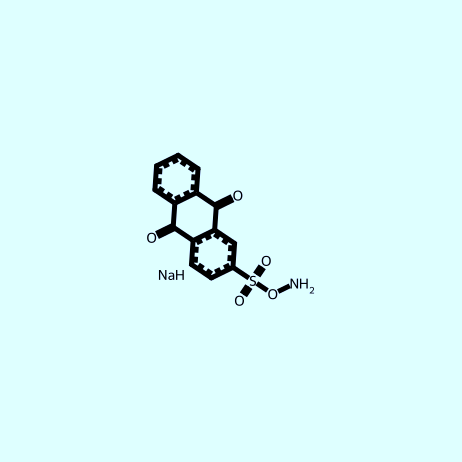 NOS(=O)(=O)c1ccc2c(c1)C(=O)c1ccccc1C2=O.[NaH]